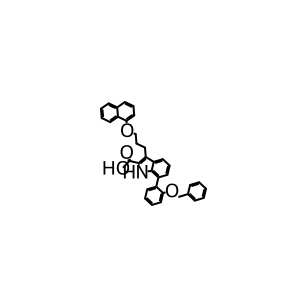 O=C(O)c1[nH]c2c(-c3ccccc3OCc3ccccc3)cccc2c1CCCOc1cccc2ccccc12